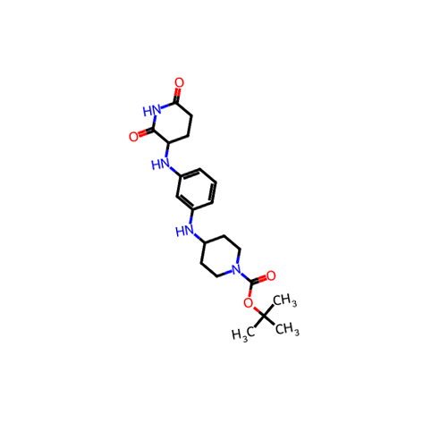 CC(C)(C)OC(=O)N1CCC(Nc2cccc(NC3CCC(=O)NC3=O)c2)CC1